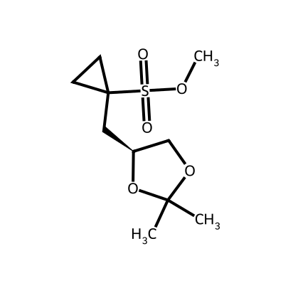 COS(=O)(=O)C1(C[C@H]2COC(C)(C)O2)CC1